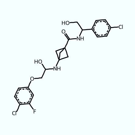 O=C(NC(CO)c1ccc(Cl)cc1)C12CC(NC(O)COc3ccc(Cl)c(F)c3)(C1)C2